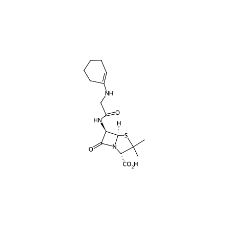 CC1(C)S[C@@H]2[C@H](NC(=O)CNC3=CCCCC3)C(=O)N2[C@H]1C(=O)O